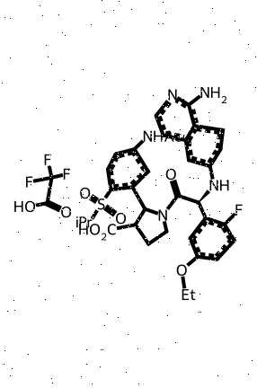 CCOc1ccc(F)c([C@H](Nc2ccc3c(N)nccc3c2)C(=O)N2CCC(C(=O)O)C2c2cc(NC(C)=O)ccc2S(=O)(=O)C(C)C)c1.O=C(O)C(F)(F)F